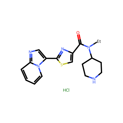 CCN(C(=O)c1csc(-c2cnc3ccccn23)n1)C1CCNCC1.Cl